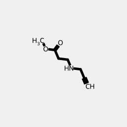 C#CCNCCC(=O)OC